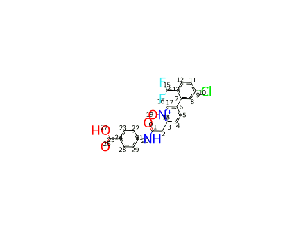 O=C(Cc1ccc(-c2cc(Cl)ccc2C(F)F)c[n+]1[O-])Nc1ccc(C(=O)O)cc1